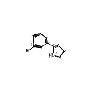 CCc1cccc(C2=NCCN2)c1